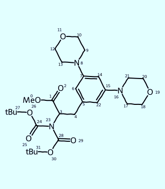 COC(=O)C(Cc1cc(N2CCOCC2)cc(N2CCOCC2)c1)N(C(=O)OC(C)(C)C)C(=O)OC(C)(C)C